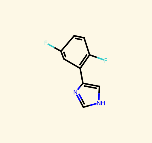 Fc1ccc(F)c(-c2c[nH]cn2)c1